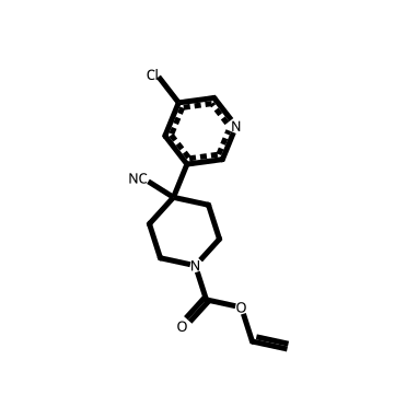 C=COC(=O)N1CCC(C#N)(c2cncc(Cl)c2)CC1